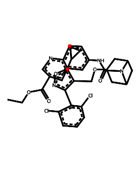 CCOC(=O)c1cnc2ccc(NC(=O)N3C4CC(OCc5c(-c6c(Cl)cccc6Cl)noc5C5CC5)CC3C4)cc2c1